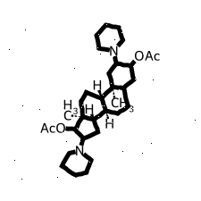 CC(=O)OC1CC2CC[C@@H]3[C@H](CC[C@]4(C)C(OC(C)=O)C(N5CCCCC5)C[C@@H]34)[C@@]2(C)CC1N1CCCCC1